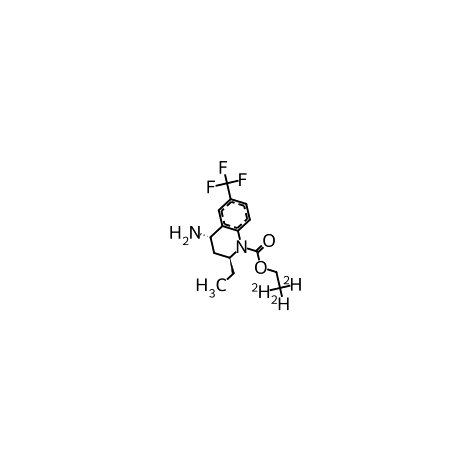 [2H]C([2H])([2H])COC(=O)N1c2ccc(C(F)(F)F)cc2[C@@H](N)C[C@@H]1CC